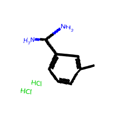 Cc1cccc(C(N)N)c1.Cl.Cl